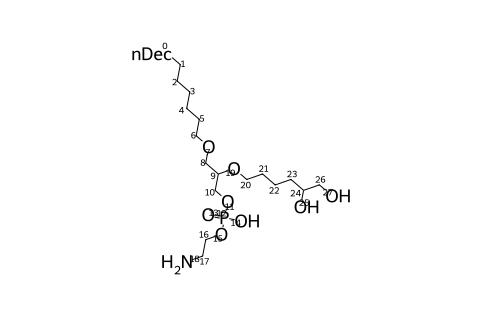 CCCCCCCCCCCCCCCCOCC(COP(=O)(O)OCCN)OCCCCC(O)CO